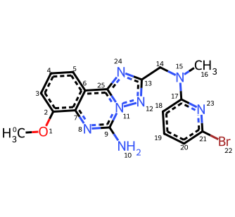 COc1cccc2c1nc(N)n1nc(CN(C)c3cccc(Br)n3)nc21